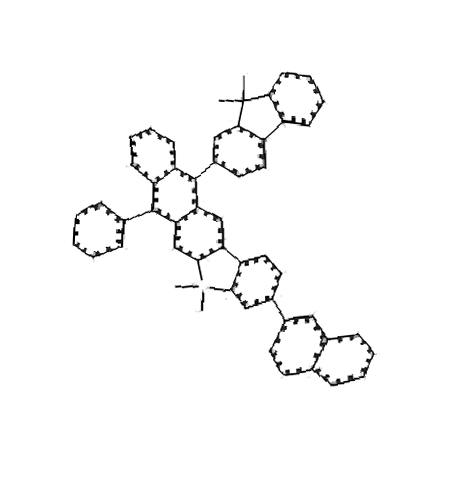 CC1(C)c2ccccc2-c2ccc(-c3c4ccccc4c(-c4ccccc4)c4cc5c(cc34)-c3ccc(-c4ccc6ccccc6c4)cc3[Si]5(C)C)cc21